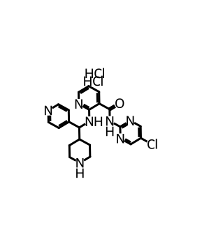 Cl.Cl.O=C(Nc1ncc(Cl)cn1)c1cccnc1NC(c1ccncc1)C1CCNCC1